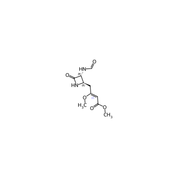 COC(=O)/C=C(/C[C@H]1NC(=O)[C@@H]1NC=O)OC